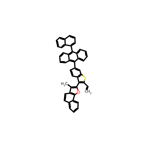 C=Cc1sc2cc(-c3c4ccccc4c(-c4cccc5ccccc45)c4ccccc34)ccc2c1-c1oc2c(ccc3ccccc32)c1C